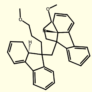 COCCCC1(CC2(CCCOC)c3ccccc3C3=CC=CC[C@H]32)c2ccccc2C2=CC=CC[C@H]21